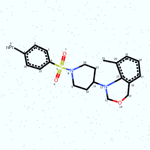 CCCc1ccc(S(=O)(=O)N2CCC(N3COCc4cccc(C)c43)CC2)cc1